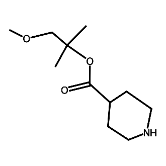 COCC(C)(C)OC(=O)C1CCNCC1